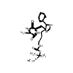 C=c1[nH]c(=O)c(=CC2(CCCNC(=O)OC(C)(C)C)N=CNC2c2ccccc2)[nH]c1=O